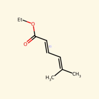 CCOC(=O)/C=C/C=C(C)C